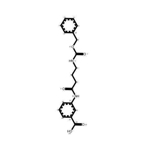 O=C(CCCNC(=O)OCc1ccccc1)Nc1cccc(C(=O)O)c1